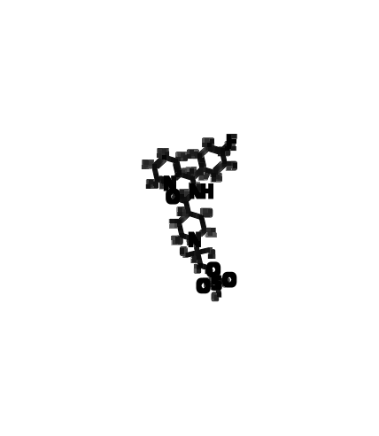 CC(C)(COS(C)(=O)=O)N1CCC(C(=O)NC(c2ccc(F)cc2)c2ccccn2)CC1